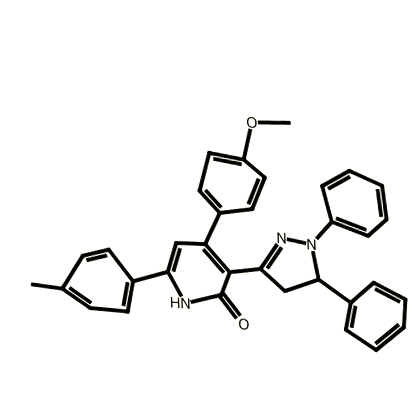 COc1ccc(-c2cc(-c3ccc(C)cc3)[nH]c(=O)c2C2=NN(c3ccccc3)C(c3ccccc3)C2)cc1